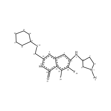 CC(=O)N1CCC(Nc2cc3nc(CSC4CCCCC4)[nH]c(=O)c3c(F)c2F)C1